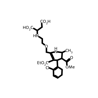 CCOC(=O)C1=C(COCCNC(CC(=O)O)C(=O)O)NC(C)C(C(=O)OC)C1C1=C(Cl)C=CCC1